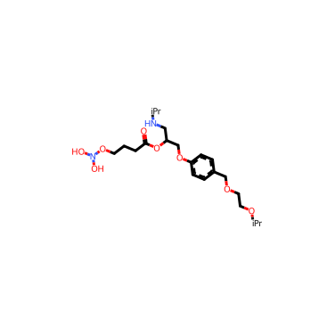 CC(C)NCC(COc1ccc(COCCOC(C)C)cc1)OC(=O)CCCON(O)O